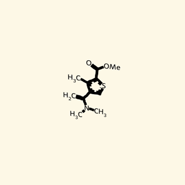 C=C(c1csc(C(=O)OC)c1C)N(C)C